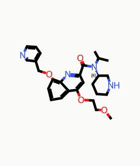 COCCOc1cc(C(=O)N(C(C)C)[C@@H]2CCCNC2)nc2c(OCc3cccnc3)cccc12